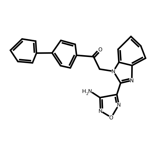 Nc1nonc1-c1nc2ccccc2n1CC(=O)c1ccc(-c2ccccc2)cc1